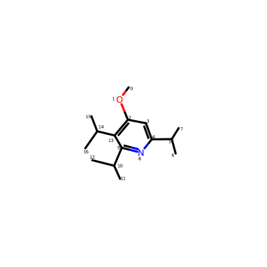 COc1cc(C(C)C)nc(C(C)C)c1C(C)C